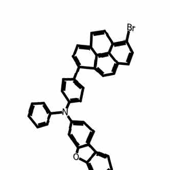 Brc1ccc2ccc3c(-c4ccc(N(c5ccccc5)c5ccc6c(c5)oc5ccccc56)cc4)ccc4ccc1c2c43